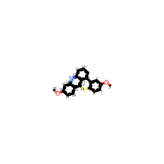 COc1ccc2c(c1)-c1cccc3nc4cc(OC)ccc4c(c13)S2